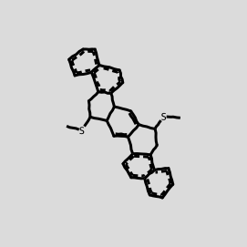 CSC1Cc2c(ccc3ccccc23)C2=CC3C(SC)Cc4c(ccc5ccccc45)C3C=C21